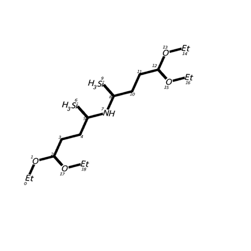 CCOC(CCC([SiH3])NC([SiH3])CCC(OCC)OCC)OCC